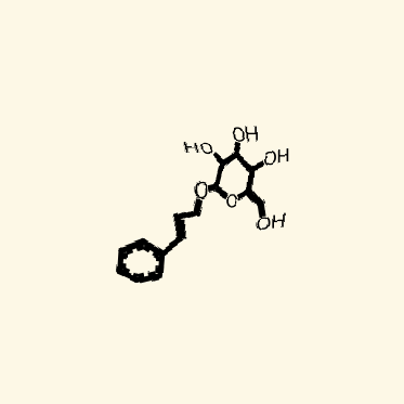 OCC1OC(OC/C=C/c2ccccc2)C(O)C(O)C1O